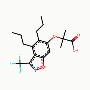 CCCc1c(OC(C)(C)C(=O)O)cc2onc(C(F)(F)F)c2c1CCC